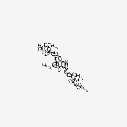 CCNC(=O)Nc1ccc(Oc2ccnc3cc(OCC4CCN(C(=O)OC(C)(C)C)CC4)c(C(=O)NC)cc23)cc1C